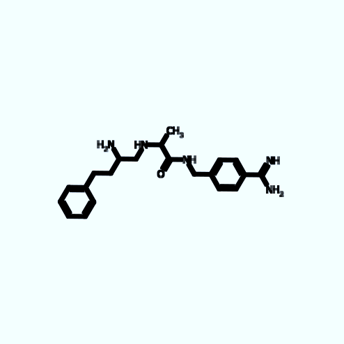 CC(NCC(N)CCc1ccccc1)C(=O)NCc1ccc(C(=N)N)cc1